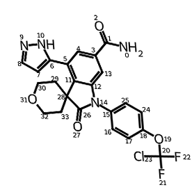 NC(=O)c1cc(-c2ccn[nH]2)c2c(c1)N(c1ccc(OC(F)(F)Cl)cc1)C(=O)C21CCOCC1